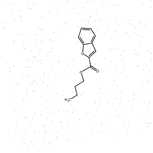 CCCCOC(=O)c1cc2ccccc2o1